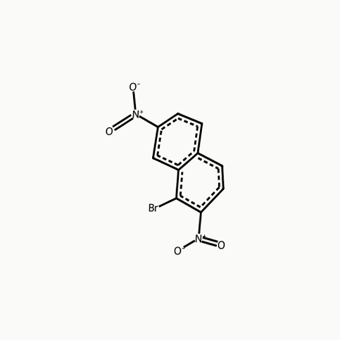 O=[N+]([O-])c1ccc2ccc([N+](=O)[O-])c(Br)c2c1